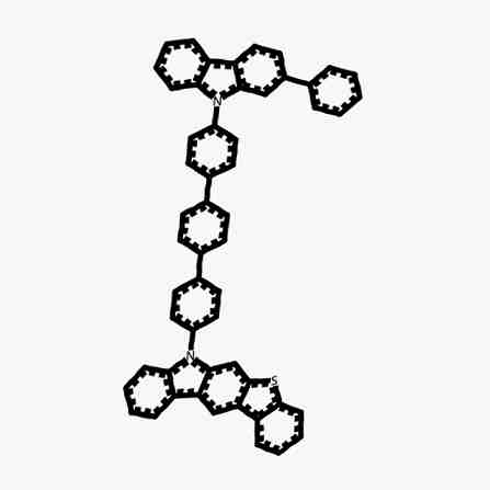 c1ccc(-c2ccc3c4ccccc4n(-c4ccc(-c5ccc(-c6ccc(-n7c8ccccc8c8cc9c(cc87)sc7ccccc79)cc6)cc5)cc4)c3c2)cc1